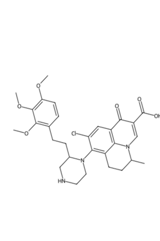 COc1ccc(CCC2CNCCN2c2c(Cl)cc3c(=O)c(C(=O)O)cn4c3c2CCC4C)c(OC)c1OC